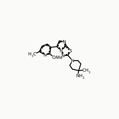 COc1nc(C)ccc1-c1cnc2sc(N3CCC(C)(N)CC3)nn12